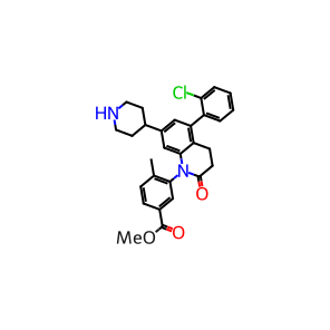 COC(=O)c1ccc(C)c(N2C(=O)CCc3c(-c4ccccc4Cl)cc(C4CCNCC4)cc32)c1